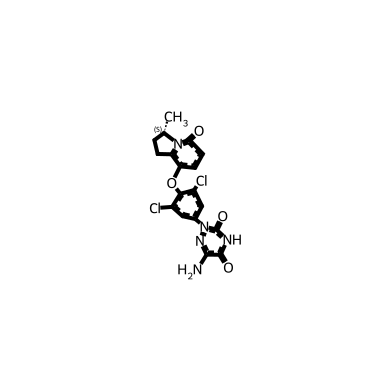 C[C@H]1CCc2c(Oc3c(Cl)cc(-n4nc(N)c(=O)[nH]c4=O)cc3Cl)ccc(=O)n21